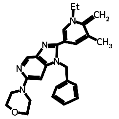 C=C1C(C)=CC(c2nc3cnc(N4CCOCC4)cc3n2Cc2ccccc2)=CN1CC